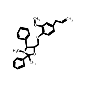 C=CCc1ccc(OCC2OC(C)(c3ccccc3)N(C)C2c2ccccc2)c(OC)c1